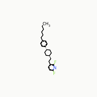 CCCCCCc1ccc([C@H]2CC[C@H](CCc3ccc(F)nc3F)CC2)cc1